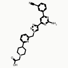 N#Cc1cccc(-c2cc(-c3cn(Cc4cccc(C5CCN(CC(=O)O)CC5)n4)nn3)nc(N)n2)c1